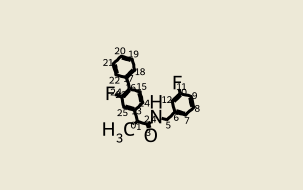 CC(C(=O)NCc1cccc(F)c1)c1ccc(-c2ccccc2)c(F)c1